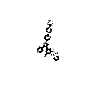 CC(C)(C)OC(=O)N1CCN(c2ccc(-n3cc(-c4cc(Cl)cc(NS(=O)(=O)N5CCCC5)c4F)c(-c4ccncc4)n3)cn2)CC1